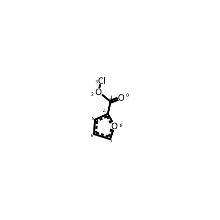 O=C(OCl)c1ccco1